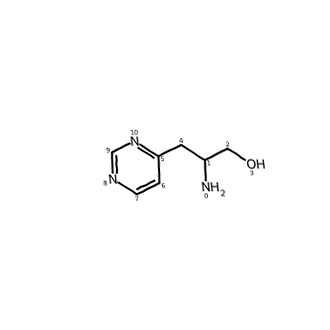 NC(CO)Cc1ccncn1